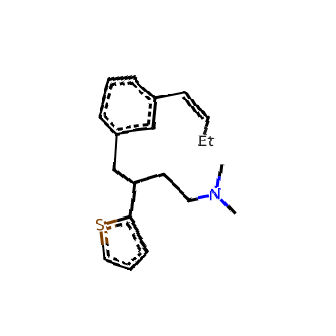 CC/C=C\c1cccc(CC(CCN(C)C)c2cccs2)c1